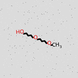 CCOCCCCCOCCCCCO